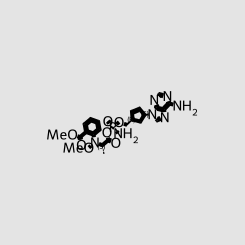 COC(=O)c1ccccc1N(OC)[C@@H](C)C(=O)OP(N)(=O)OC[C@H]1C=C[C@@H](n2cnc3c(N)ncnc32)C1